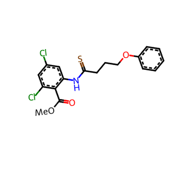 COC(=O)c1c(Cl)cc(Cl)cc1NC(=S)CCCOc1ccccc1